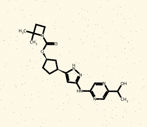 CC(O)c1cnc(Nc2cc([C@H]3CC[C@@H](OC(=O)N4CCC4(C)C)C3)[nH]n2)cn1